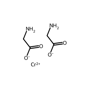 NCC(=O)[O-].NCC(=O)[O-].[Cr+2]